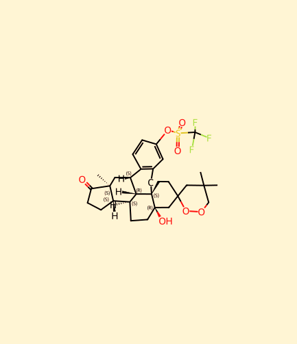 CC1(C)COOC2(CC[C@@]34Cc5cc(OS(=O)(=O)C(F)(F)F)ccc5[C@H]5C[C@]6(C)C(=O)CC[C@H]6[C@H](CC[C@@]3(O)C2)[C@H]54)C1